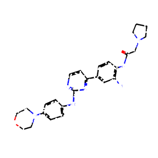 Nc1cc(-c2ccnc(Nc3ccc(N4CCOCC4)cc3)n2)ccc1NC(=O)CN1CCCC1